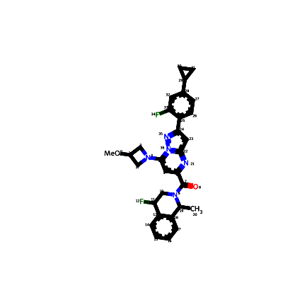 COC1CN(c2cc(C(=O)N3CC(F)c4ccccc4C3C)nc3cc(-c4ccc(C5CC5)cc4F)nn23)C1